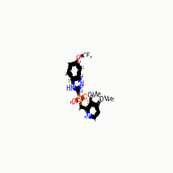 COc1ccnc(CS(=O)(=O)c2nc3cc(OC(F)(F)F)ccc3[nH]2)c1OC